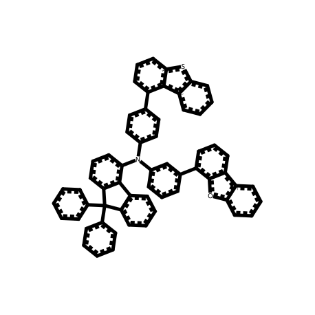 c1ccc(C2(c3ccccc3)c3ccccc3-c3c(N(c4ccc(-c5cccc6sc7ccccc7c56)cc4)c4cccc(-c5cccc6c5oc5ccccc56)c4)cccc32)cc1